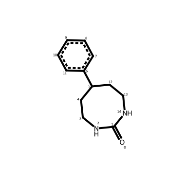 O=C1NCCC(c2ccccc2)CCN1